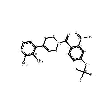 Nc1nccc(C2=CCN(C(=O)c3ccc(OC(F)(F)F)cc3[N+](=O)[O-])CC2)c1N